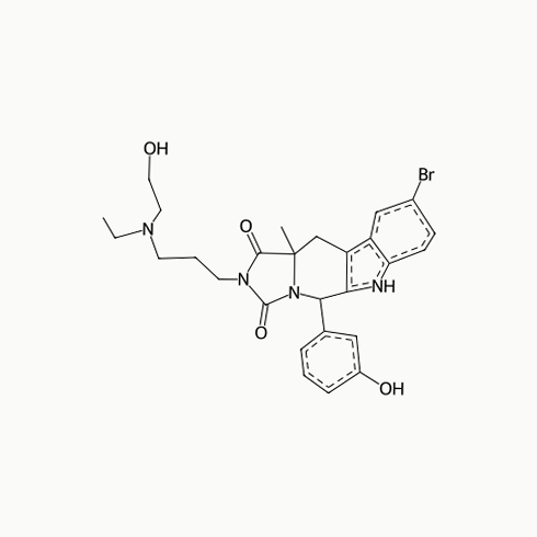 CCN(CCO)CCCN1C(=O)N2C(c3cccc(O)c3)c3[nH]c4ccc(Br)cc4c3CC2(C)C1=O